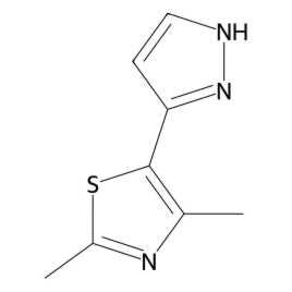 Cc1nc(C)c(-c2cc[nH]n2)s1